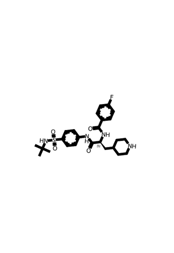 CC(C)(C)NS(=O)(=O)c1ccc(NC(=O)[C@H](CC2CCNCC2)NC(=O)c2ccc(F)cc2)cc1